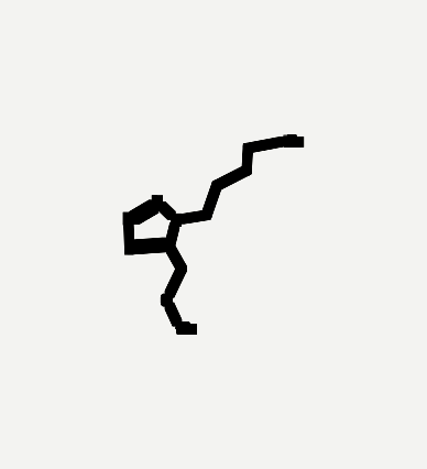 CC(C)(C)CCCCn1nncc1COC(C)(C)C